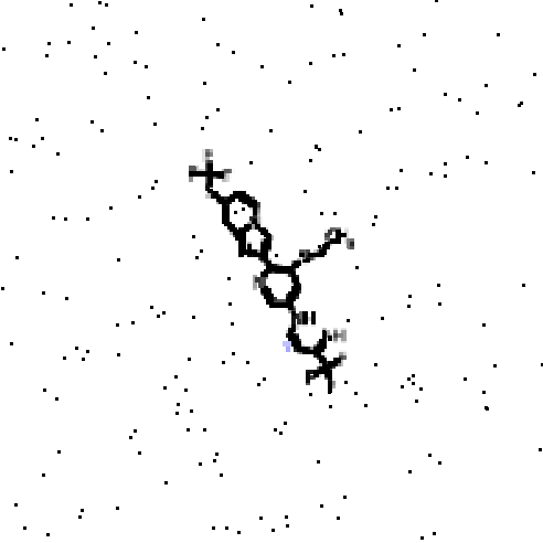 CCSc1cc(N/C=C\C(=N)C(F)(F)F)cnc1-c1cn2ccc(SC(F)(F)F)cc2n1